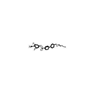 CCCCCOCc1ccc(-c2ccc(C(=O)Oc3cc(F)c(C#N)c(F)c3)cc2)cc1